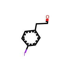 O=CCc1ccc(I)cc1